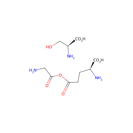 NCC(=O)OC(=O)CC[C@H](N)C(=O)O.N[C@@H](CO)C(=O)O